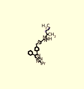 C=C(/C=C\C=C/C)c1nc(C2CN(Cc3ccc(-c4nc5nc(C(C)C)nn5cc4-c4ccccc4)cc3)C2)n[nH]1